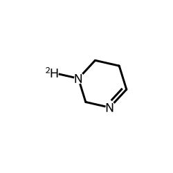 [2H]N1CCC=NC1